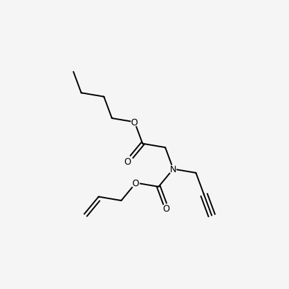 C#CCN(CC(=O)OCCCC)C(=O)OCC=C